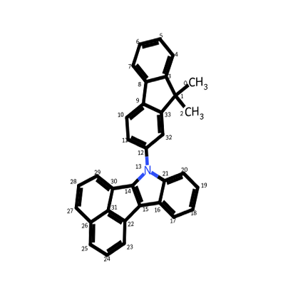 CC1(C)c2ccccc2-c2ccc(-n3c4c(c5ccccc53)-c3cccc5cccc-4c35)cc21